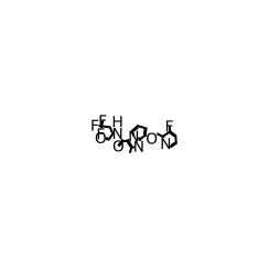 Cc1nc2c(OCc3ncccc3F)cccn2c1C(=O)NC(C=O)CC(F)(F)F